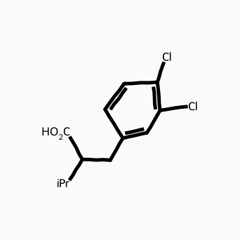 CC(C)C(Cc1ccc(Cl)c(Cl)c1)C(=O)O